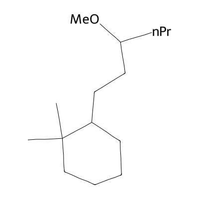 CCCC(CCC1CCCCC1(C)C)OC